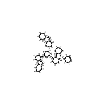 c1ccc(-n2c3ccccc3c3c(-c4nc(-c5ccc6oc7ccccc7c6c5)nc(-c5cccc6c5oc5ccccc56)n4)cccc32)cc#1